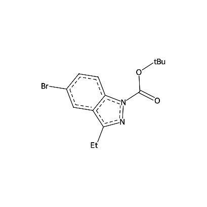 CCc1nn(C(=O)OC(C)(C)C)c2ccc(Br)cc12